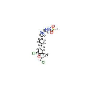 CC(C)(c1ccc(-c2cnn(CCNS(C)(=O)=O)c2)cc1)c1cc(Cl)c(OCCCl)c(C#N)c1